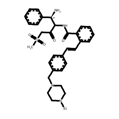 CCN1CCN(Cc2ccc(C=Cc3ccccc3C(=O)NC(C(=O)CS(C)(=O)=O)[C@H](N)c3ccccc3)cc2)CC1